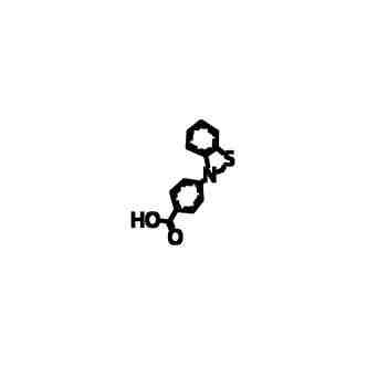 O=C(O)c1ccc(N2CSc3ccccc32)cc1